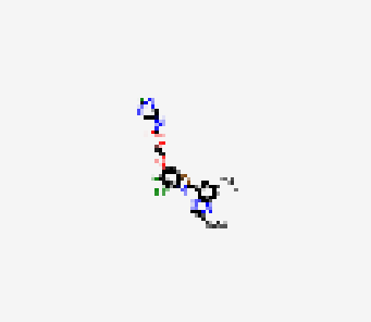 COc1cnc2c(-c3nc4c(Cl)c(F)c(OCCOC(=O)Nc5cnc(Cl)nc5)cc4s3)cc(C)cc2n1